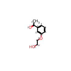 CC(=O)c1cccc(OCCO)c1